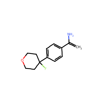 C=C(N)c1ccc(C2(F)CCOCC2)cc1